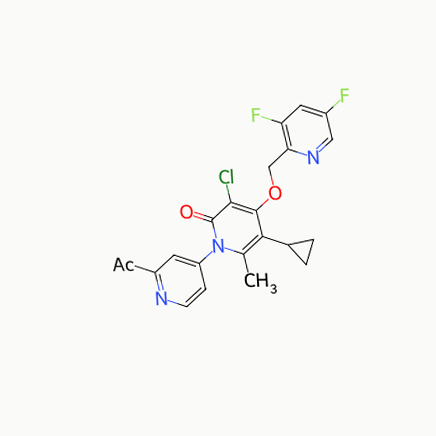 CC(=O)c1cc(-n2c(C)c(C3CC3)c(OCc3ncc(F)cc3F)c(Cl)c2=O)ccn1